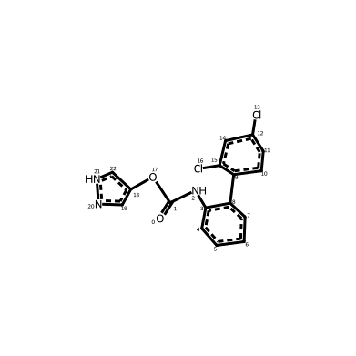 O=C(Nc1ccccc1-c1ccc(Cl)cc1Cl)Oc1cn[nH]c1